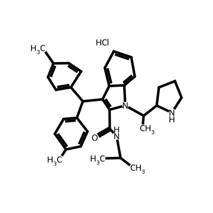 Cc1ccc(C(c2ccc(C)cc2)c2c(C(=O)NC(C)C)n(C(C)C3CCCN3)c3ccccc23)cc1.Cl